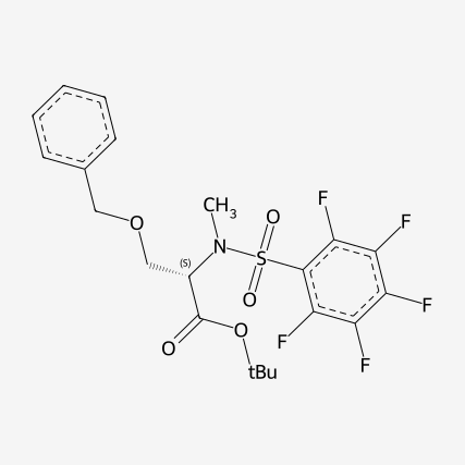 CN([C@@H](COCc1ccccc1)C(=O)OC(C)(C)C)S(=O)(=O)c1c(F)c(F)c(F)c(F)c1F